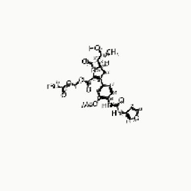 COc1cc(C2=C(C(=O)OCOC(=O)C(C)(C)C)N3C(=O)[C@H]([C@@H](C)O)[C@H]3C2)ccc1NC(=O)Nc1ccoc1